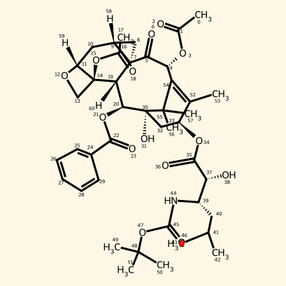 CC(=O)O[C@H]1C(=O)[C@]23C[C@H]2C[C@H]2OC[C@@]2(OC(C)=O)[C@H]3[C@H](OC(=O)c2ccccc2)[C@]2(O)C[C@H](OC(=O)[C@H](O)[C@H](CC(C)C)NC(=O)OC(C)(C)C)C(C)=C1C2(C)C